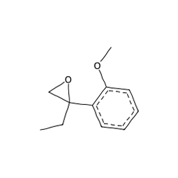 CCC1(c2ccccc2OC)CO1